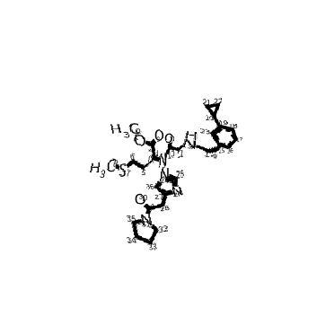 COC(=O)[C@H](CCSC)N(C(=O)CNCc1cccc(C2CC2)c1)n1cnc(CC(=O)N2CCCC2)c1